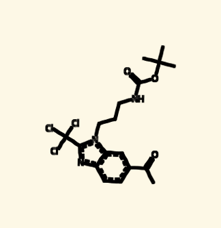 CC(=O)c1ccc2nc(C(Cl)(Cl)Cl)n(CCCNC(=O)OC(C)(C)C)c2c1